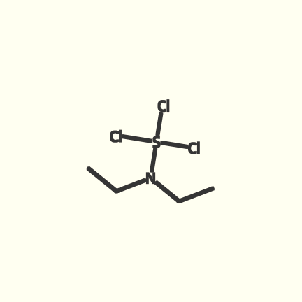 CCN(CC)S(Cl)(Cl)Cl